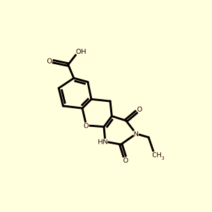 CCn1c(=O)[nH]c2c(c1=O)Cc1cc(C(=O)O)ccc1O2